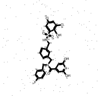 O=C(c1cc(O)nc(O)c1)N(Cc1ccc(F)cc1)Cc1cccc(CNS(=O)(=O)c2cc(Cl)cc(Cl)c2O)c1